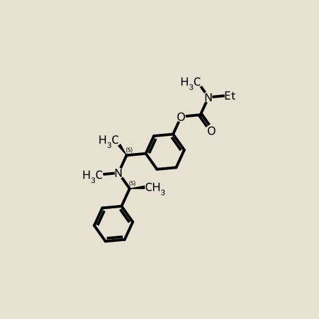 CCN(C)C(=O)OC1=CCCC([C@H](C)N(C)[C@@H](C)c2ccccc2)=C1